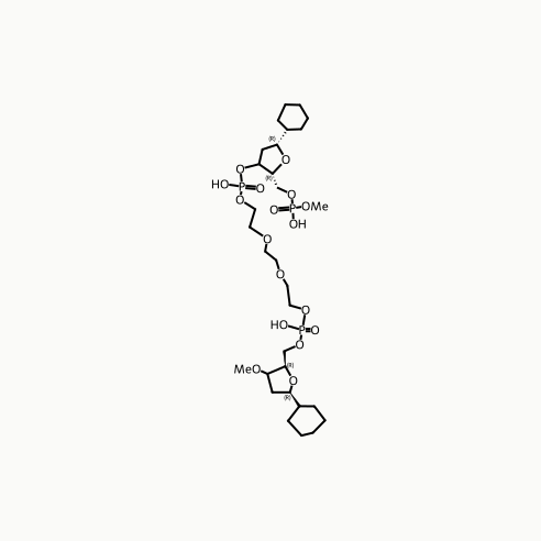 COC1C[C@H](C2CCCCC2)O[C@@H]1COP(=O)(O)OCCOCCOCCOP(=O)(O)OC1C[C@H](C2CCCCC2)O[C@@H]1COP(=O)(O)OC